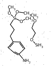 COCCO[SiH3].CO[Si](CCCc1ccc(N)cc1)(OC)OC